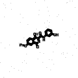 CC(C)Oc1ccc2c(O)c(C(=O)Nc3[c]c(O)ccc3)nc(Cl)c2c1